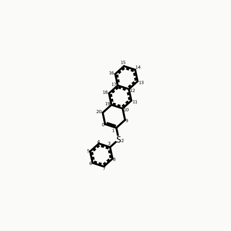 C1=C(Sc2ccccc2)Cc2cc3ccccc3cc2C1